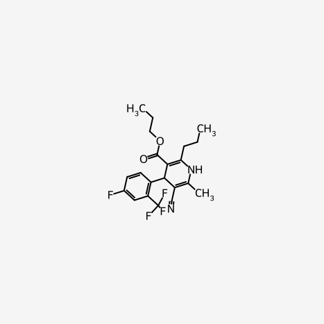 CCCOC(=O)C1=C(CCC)NC(C)=C(C#N)C1c1ccc(F)cc1C(F)(F)F